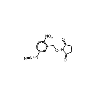 [N-]=[N+]=Nc1ccc([N+](=O)[O-])c(CON2C(=O)CCC2=O)c1